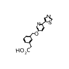 O=C(O)Cc1cccc(COc2ccc(-c3cncs3)nc2)c1